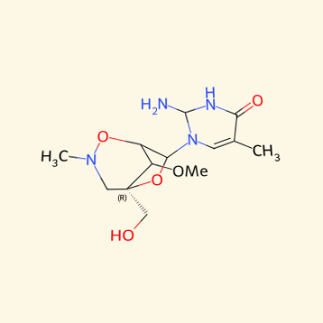 COC1C2ON(C)C[C@]1(CO)OC2N1C=C(C)C(=O)NC1N